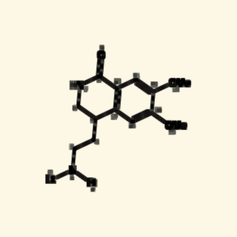 CCN(CC)CCC1CNC(=O)c2cc(OC)c(OC)cc21